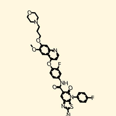 COc1cc2c(Oc3ccc(NC(=O)c4cc5nc(N(C)C)sc5n(-c5ccc(F)cc5)c4=O)cc3F)ccnc2cc1OCCCN1CCOCC1